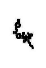 CCCCCOC(=O)[C@@](C)(NC(C)=O)NC(=O)[C@@H]1CCCN(C(=O)CCC2CCNCC2)C1